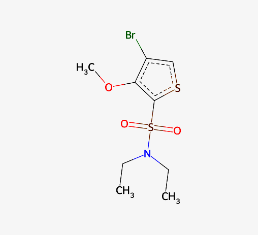 CCN(CC)S(=O)(=O)c1scc(Br)c1OC